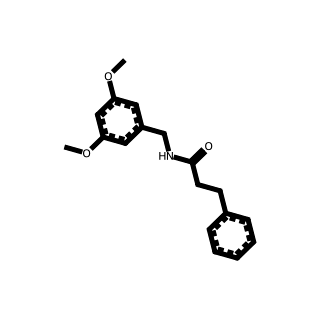 COc1cc(CNC(=O)CCc2ccccc2)cc(OC)c1